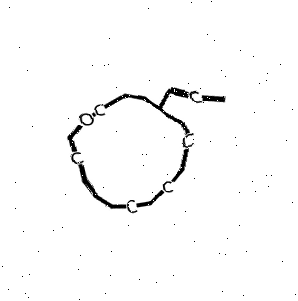 C=C=CC1CCCCCCCCCCCOCCC1